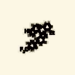 CCc1cccc(CC)c1-n1nc2c(c1-c1cccc3[nH]ccc13)CN(c1ncc(C(F)(F)F)cn1)CC2